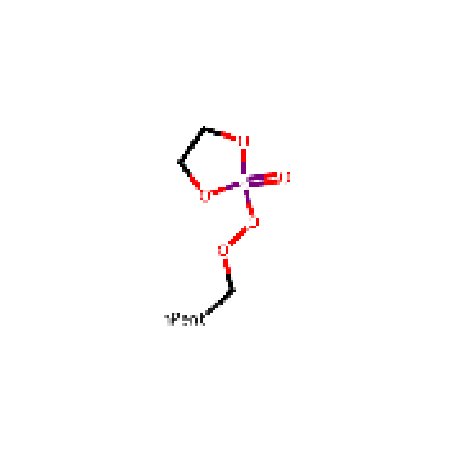 CCCCCCOOP1(=O)OCCO1